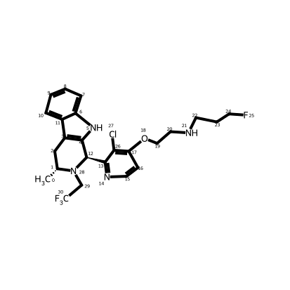 C[C@@H]1Cc2c([nH]c3ccccc23)[C@@H](c2nccc(OCCNCCCF)c2Cl)N1CC(F)(F)F